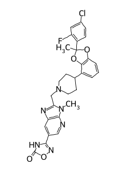 Cn1c(CN2CCC(c3cccc4c3OC(C)(c3ccc(Cl)cc3F)O4)CC2)nc2cc(-c3noc(=O)[nH]3)cnc21